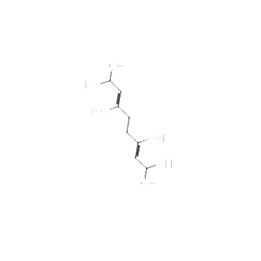 CC(C)C=C(O)CCC(O)=CC(C)C